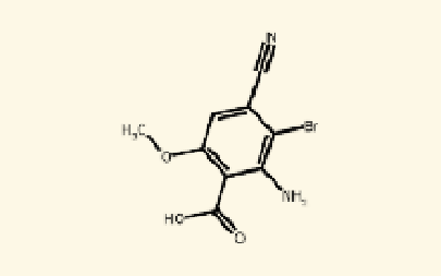 COc1cc(C#N)c(Br)c(N)c1C(=O)O